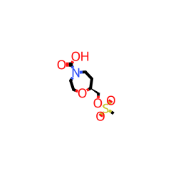 CS(=O)(=O)OC[C@@H]1CCN(C(=O)O)CCO1